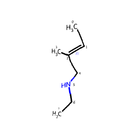 C/C=C(\C)CNCC